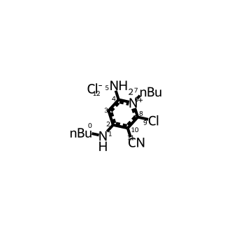 CCCCNc1cc(N)[n+](CCCC)c(Cl)c1C#N.[Cl-]